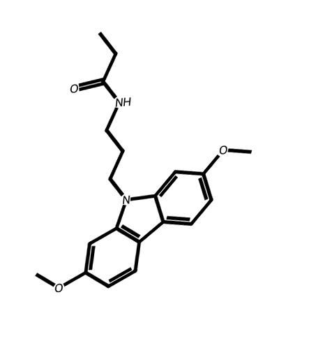 CCC(=O)NCCCn1c2cc(OC)ccc2c2ccc(OC)cc21